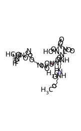 C#C[C@H]1CC(F)(F)CN1C(=O)CNC(=O)c1ccnc2ccc(OCCCCN3CCN(C(=O)C(O)CSCCNC(=O)C(CCCC/N=C(\C)NC(=O)CCCc4ccc(C)cc4)NC(=O)CN4CCN(COC=O)CCN(COC=O)CCN(CC(=O)O)CC4)CC3)cc12